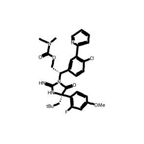 COc1ccc([C@@]2(CC(C)(C)C)NC(=N)N([C@H](COC(=O)N(C)C)c3ccc(Cl)c(-c4ccccn4)c3)C2=O)c(F)c1